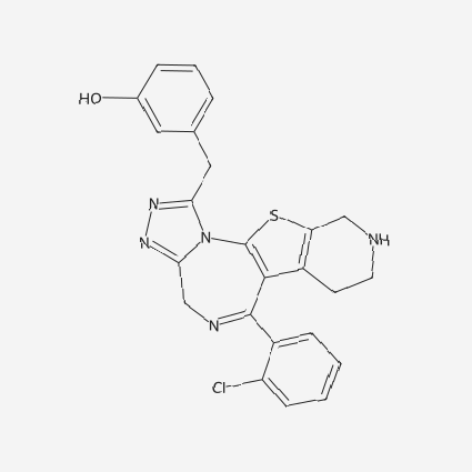 Oc1cccc(Cc2nnc3n2-c2sc4c(c2C(c2ccccc2Cl)=NC3)CCNC4)c1